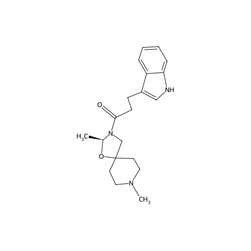 C[C@@H]1OC2(CCN(C)CC2)CN1C(=O)CCc1c[nH]c2ccccc12